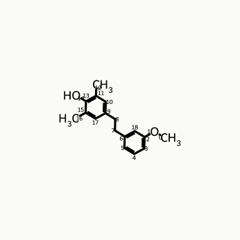 COc1cccc(CCc2cc(C)c(O)c(C)c2)c1